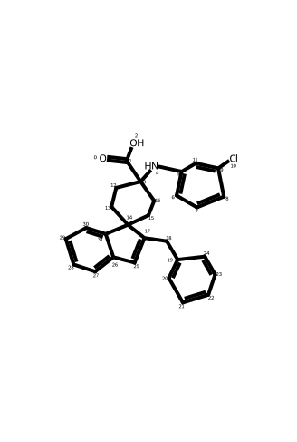 O=C(O)C1(Nc2cccc(Cl)c2)CCC2(CC1)C(Cc1ccccc1)=Cc1ccccc12